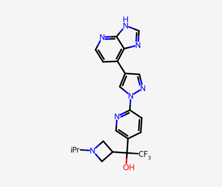 CC(C)N1CC(C(O)(c2ccc(-n3cc(-c4ccnc5[nH]cnc45)cn3)nc2)C(F)(F)F)C1